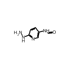 NNc1ccc(NC=O)cn1